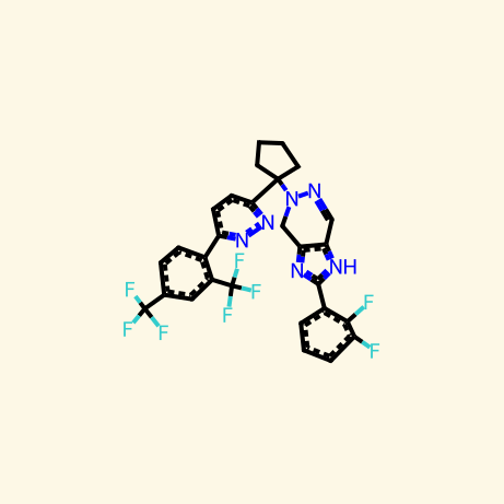 Fc1cccc(-c2nc3c([nH]2)C=NN(C2(c4ccc(-c5ccc(C(F)(F)F)cc5C(F)(F)F)nn4)CCCC2)C3)c1F